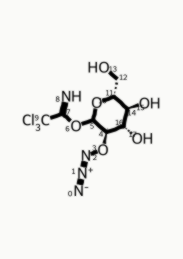 [N-]=[N+]=NO[C@H]1C(OC(=N)C(Cl)(Cl)Cl)O[C@H](CO)[C@@H](O)[C@@H]1O